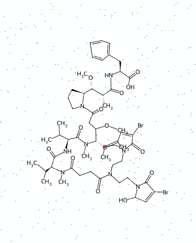 CCC(C)[C@@H](C(CC(=O)N1CCC[C@H]1[C@H](OC)[C@@H](C)C(=O)N[C@@H](Cc1ccccc1)C(=O)O)OC)N(C)C(=O)[C@@H](NC(=O)[C@H](C(C)C)N(C)C(=O)CCC(=O)N(CCN1C(=O)C=C(Br)C1=O)CCN1C(=O)C(Br)=CC1O)C(C)C